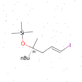 CCCC[C@](C)(CC=CI)O[Si](C)(C)C